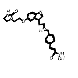 O=C(/C=C/c1ccc(CNCCC2C=Nc3ccc(OCCN4CCNC4=O)cc32)cc1)NO